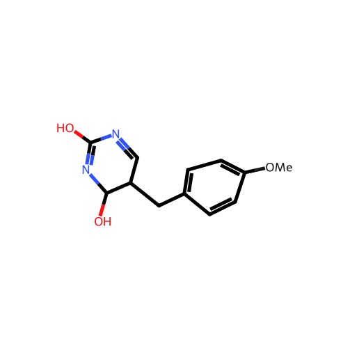 COc1ccc(CC2C=NC(O)=NC2O)cc1